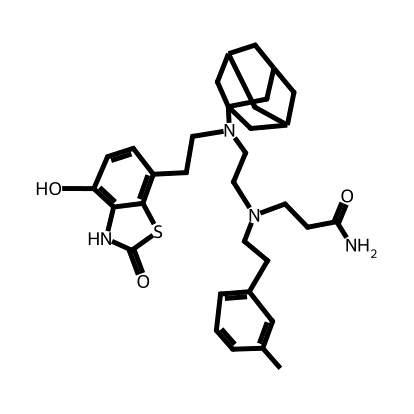 Cc1cccc(CCN(CCC(N)=O)CCN(CCc2ccc(O)c3[nH]c(=O)sc23)C23CC4CC(CC(C4)C2)C3)c1